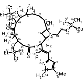 CC[Si](CC)(CC)OC1[C@@H](C)CCC[C@]2(C)CC([C@@H](/C(C)=C/c3cc(SC)n(C)n3)OC(=O)CC(O[Si](CC)(CC)CC)C(C)(C)C(=O)[C@@H]1C)N2CCO[Si](C)(C)C(C)(C)C